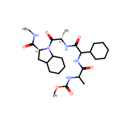 CCCCNC(=O)[C@@H]1CC2CCCCC2N1C(=O)[C@@H](NC(=O)C(NC(=O)C(C)NC(=O)OC(C)C)C1CCCCC1)C(C)C